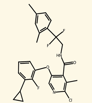 Cc1ccc(C(F)(F)CNC(=O)c2c(Oc3cccc(C4CC4)c3F)cnc(Cl)c2C)c(C)c1